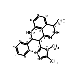 Cc1nnc(C2C3=NNC(C=O)c4cccc(c43)NC2c2ccccc2)n1C